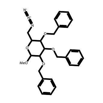 COC1OC(CN=[N+]=[N-])C(OCc2ccccc2)C(OCc2ccccc2)C1OCc1ccccc1